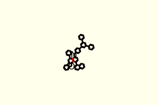 c1ccc(-c2cc(-c3ccccc3)cc(-c3ccc(N(c4ccc(-c5cccc6ccccc56)cc4)c4ccccc4-c4ccc5oc6ccccc6c5c4)cc3)c2)cc1